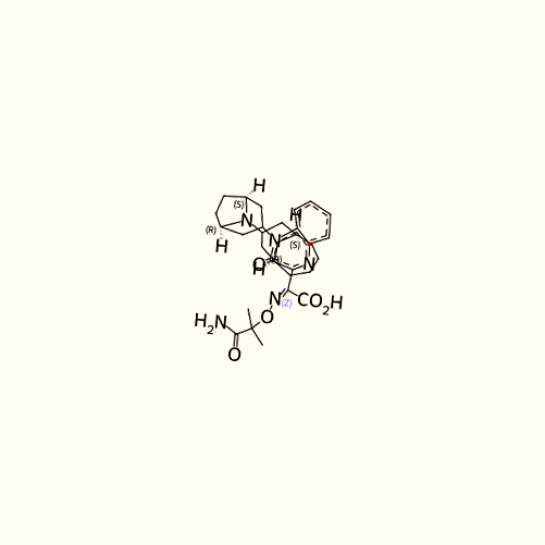 CC(C)(O/N=C(\C(=O)O)c1nc2ccccc2n(C2C[C@H]3CC[C@@H](C2)N3C2C[C@H]3CCCC[C@@H](C2)C3)c1=O)C(N)=O